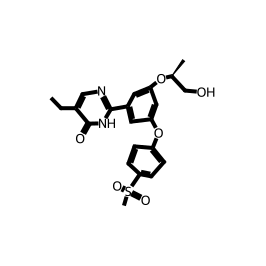 CCc1cnc(-c2cc(Oc3ccc(S(C)(=O)=O)cc3)cc(O[C@@H](C)CO)c2)[nH]c1=O